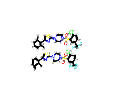 Cc1cccc(-c2csc(N3CCN(S(=O)(=O)c4cc(C(F)(F)F)ccc4Cl)CC3)n2)c1C.Cc1cccc(C)c1-c1csc(N2CCN(S(=O)(=O)c3cc(C(F)(F)F)ccc3Cl)CC2)n1